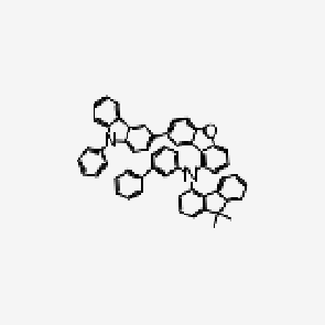 CC1(C)c2ccccc2-c2c(N(c3cccc(-c4ccccc4)c3)c3cccc4oc5ccc(-c6ccc7c(c6)c6ccccc6n7-c6ccccc6)cc5c34)cccc21